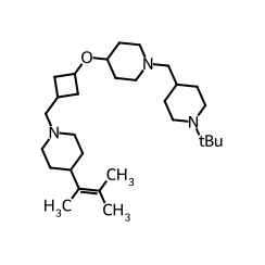 CC(C)=C(C)C1CCN(CC2CC(OC3CCN(CC4CCN(C(C)(C)C)CC4)CC3)C2)CC1